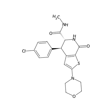 CNC(=O)[C@@H]1NC(=O)c2sc(N3CCOCC3)cc2[C@H]1c1ccc(Cl)cc1